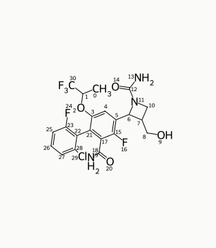 CC(Oc1cc(C2C(CO)CN2C(N)=O)c(F)c(C(N)=O)c1-c1c(F)cccc1Cl)C(F)(F)F